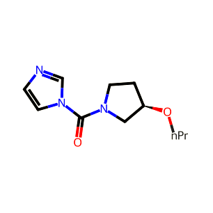 CCCO[C@@H]1CCN(C(=O)n2ccnc2)C1